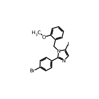 COc1ccccc1Cn1c(I)cnc1-c1ccc(Br)cc1